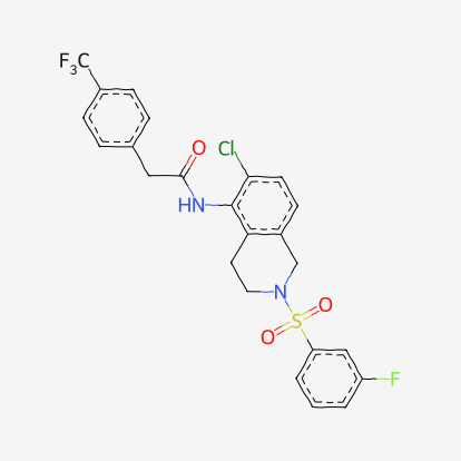 O=C(Cc1ccc(C(F)(F)F)cc1)Nc1c(Cl)ccc2c1CCN(S(=O)(=O)c1cccc(F)c1)C2